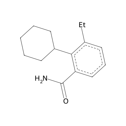 CCc1cccc(C(N)=O)c1C1CCCCC1